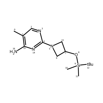 Cc1cnc(N2CC(O[Si](C)(C)C(C)(C)C)C2)nc1N